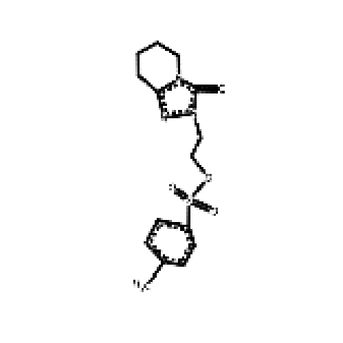 Cc1ccc(S(=O)(=O)OCCn2nc3n(c2=O)CCCC3)cc1